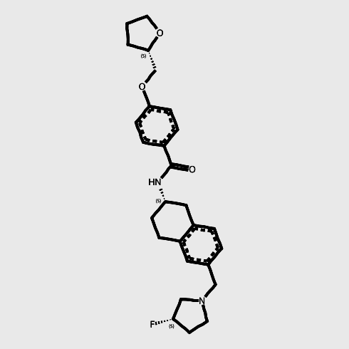 O=C(N[C@H]1CCc2cc(CN3CC[C@H](F)C3)ccc2C1)c1ccc(OC[C@@H]2CCCO2)cc1